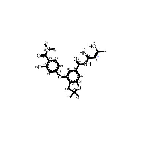 C/C(O)=C/C(=N)NC(=O)c1cc(Oc2ccc(C(=O)N(C)C)c(F)c2)c2c(c1)OC(C)(C)C2